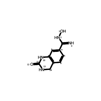 N=C(NO)c1ccc2c(c1)NC(=O)NC2